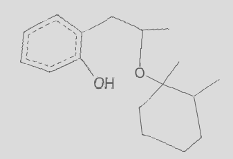 CC(Cc1ccccc1O)OC1(C)CCCCC1C